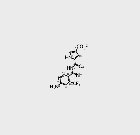 CCOC(=O)c1c[nH]c(C(=O)NC(=N)c2cnc(N)cc2C(F)(F)F)c1